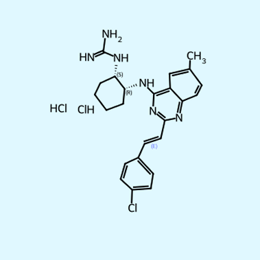 Cc1ccc2nc(/C=C/c3ccc(Cl)cc3)nc(N[C@@H]3CCCC[C@@H]3NC(=N)N)c2c1.Cl.Cl